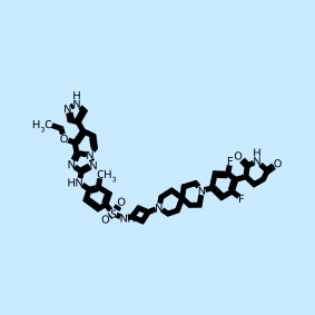 CCOc1c(-c2cn[nH]c2)ccn2nc(Nc3ccc(S(=O)(=O)NC4CC(N5CCC6(CCN(c7cc(F)c(C8CCC(=O)NC8=O)c(F)c7)CC6)CC5)C4)cc3C)nc12